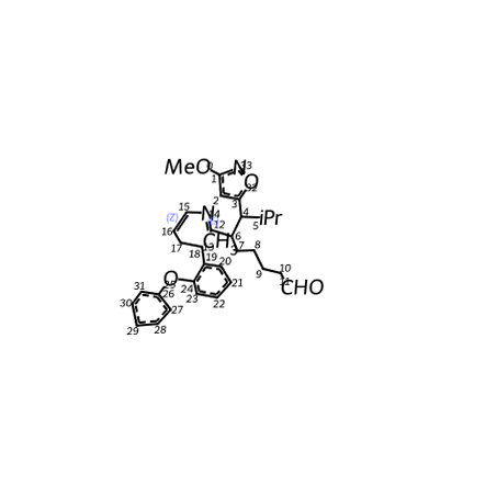 COc1cc(C(C(C)C)C(CCCCC=O)/C(C)=N/C=C\CCc2ccccc2Oc2ccccc2)on1